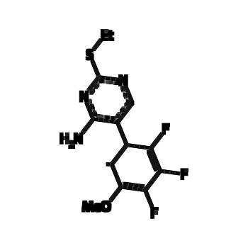 CCSc1ncc(C2[CH]C(OC)=C(F)C(F)=C2F)c(N)n1